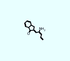 C=C/C=C(N)\C=C1/CC2C=CC=CC2C1=O